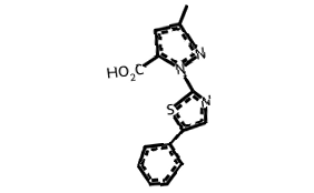 Cc1cc(C(=O)O)n(-c2ncc(-c3ccccc3)s2)n1